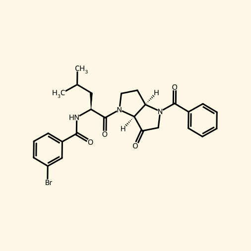 CC(C)C[C@H](NC(=O)c1cccc(Br)c1)C(=O)N1CC[C@@H]2[C@H]1C(=O)CN2C(=O)c1ccccc1